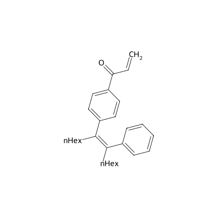 C=CC(=O)c1ccc(C(CCCCCC)=C(CCCCCC)c2ccccc2)cc1